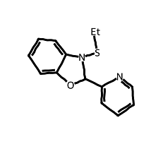 CCSN1c2ccccc2OC1c1ccccn1